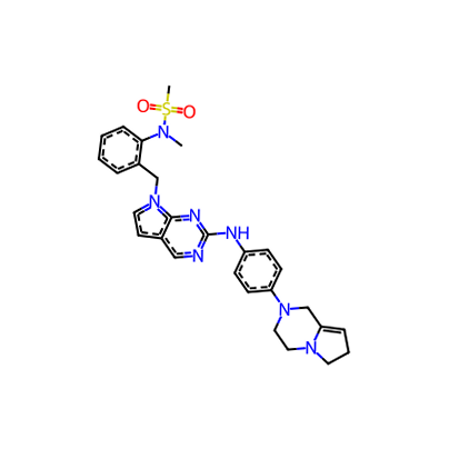 CN(c1ccccc1Cn1ccc2cnc(Nc3ccc(N4CCN5CCC=C5C4)cc3)nc21)S(C)(=O)=O